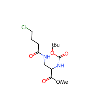 COC(=O)C(CNC(=O)CCCCl)NC(=O)OC(C)(C)C